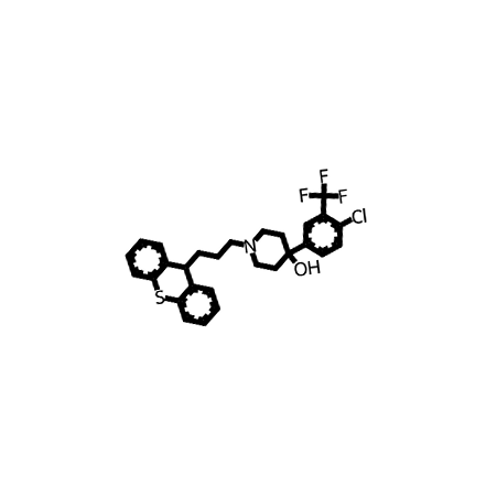 OC1(c2ccc(Cl)c(C(F)(F)F)c2)CCN(CCCC2c3ccccc3Sc3ccccc32)CC1